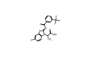 CC(C(=O)O)n1c(=NC(=O)c2cccc(C(F)(F)F)c2)sc2cc(F)ccc21